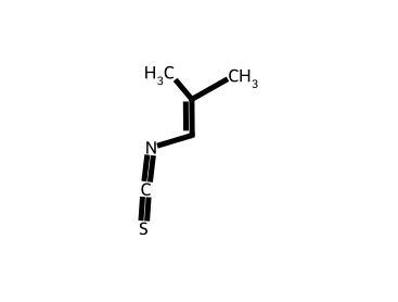 CC(C)=CN=C=S